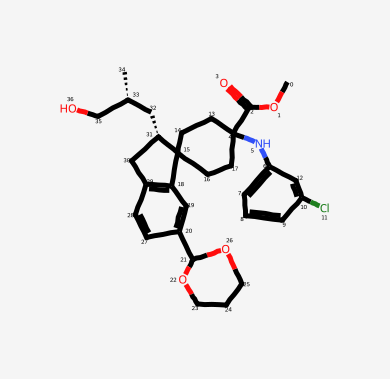 COC(=O)C1(Nc2cccc(Cl)c2)CCC2(CC1)c1cc(C3OCCCO3)ccc1C[C@@H]2C[C@@H](C)CO